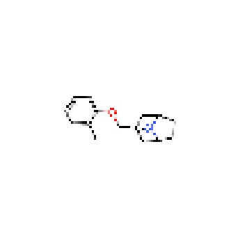 Cc1ccccc1OCC1CC2CCC(C1)N2C